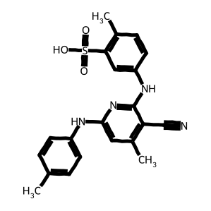 Cc1ccc(Nc2cc(C)c(C#N)c(Nc3ccc(C)c(S(=O)(=O)O)c3)n2)cc1